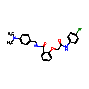 CN(C)c1ccc(CNC(=O)c2ccccc2OCC(=O)Nc2ccc(Br)cc2)cc1